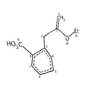 C=C(Cc1ccccc1C(=O)O)OCC